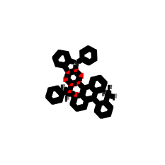 FC(F)(F)c1ccccc1-c1c2ccccc2c(-c2ccccc2C(F)(F)F)c2c(N(c3ccccc3)c3ccc4c(c3)c3ccccc3n4-c3ccccc3)cccc12